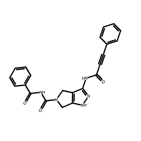 O=C(C#Cc1ccccc1)Nc1n[nH]c2c1CN(C(=O)NC(=O)c1ccccc1)C2